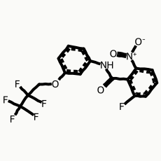 O=C(Nc1cccc(OCC(F)(F)C(F)(F)F)c1)c1c(F)cccc1[N+](=O)[O-]